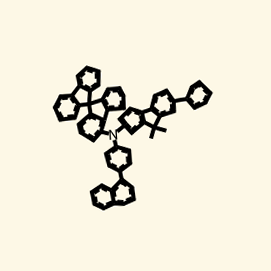 CC1(C)c2cc(-c3ccccc3)ccc2-c2ccc(N(c3ccc(-c4cccc5ccccc45)cc3)c3cccc4c3-c3ccccc3C43c4ccccc4-c4ccccc43)cc21